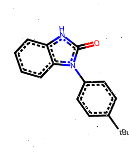 CC(C)(C)c1ccc(-n2c(=O)[nH]c3ccccc32)cc1